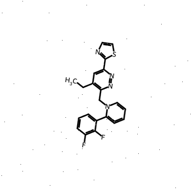 CCc1cc(-c2nccs2)nnc1CN1C=CC=C=C1c1cccc(F)c1F